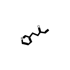 C=CC(=O)CCc1cccnc1